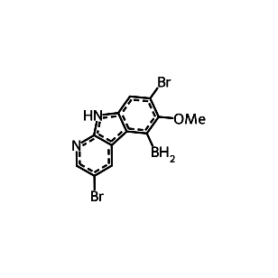 Bc1c(OC)c(Br)cc2[nH]c3ncc(Br)cc3c12